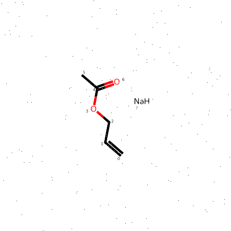 C=CCOC(C)=O.[NaH]